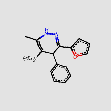 CCOC(=O)C1=C(C)NN=C(c2ccco2)C1c1ccccc1